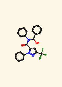 O=C(c1cc(C(F)(F)F)nn1-c1ccccc1)N(c1ccccc1)C(O)c1ccccc1